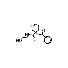 O=C(CC1(C(=O)NCCO)C=CC=NC1)c1ccccc1